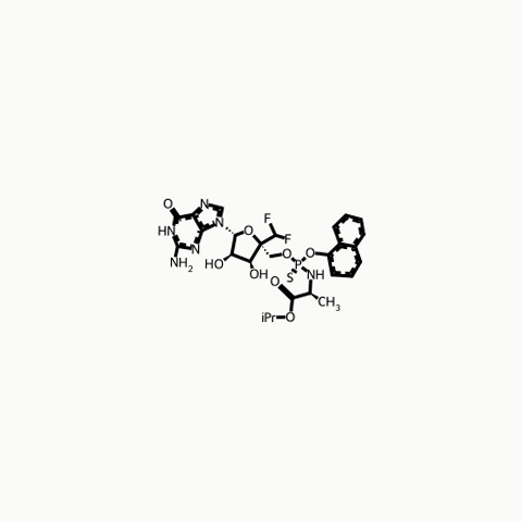 CC(C)OC(=O)[C@H](C)NP(=S)(OC[C@@]1(C(F)F)O[C@@H](n2cnc3c(=O)[nH]c(N)nc32)[C@H](O)[C@@H]1O)Oc1cccc2ccccc12